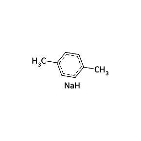 Cc1ccc(C)cc1.[NaH]